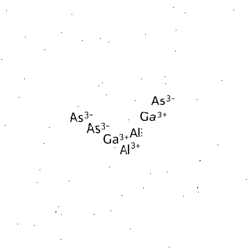 [Al+3].[Al].[As-3].[As-3].[As-3].[Ga+3].[Ga+3]